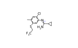 Cc1cc(Cl)c(/N=C(\N)C2CC2)cc1SCC(F)(F)F